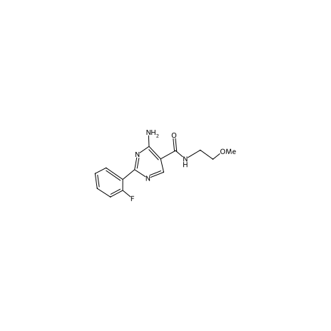 COCCNC(=O)c1cnc(-c2ccccc2F)nc1N